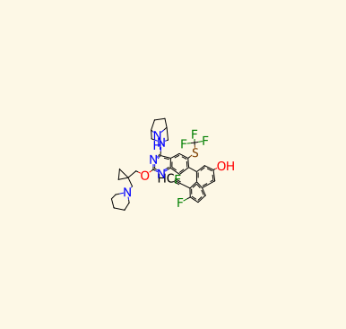 C#Cc1c(F)ccc2cc(O)cc(-c3c(SC(F)(F)F)cc4c(N5CC6CCC(C5)N6)nc(OCC5(CN6CCCCC6)CC5)nc4c3F)c12